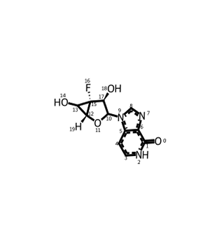 O=c1[nH]ccc2c1ncn2C1O[C@@H]2C(O)[C@@]2(F)[C@H]1O